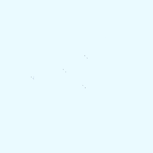 CCCCN(CC)Cc1c(C(F)(F)F)nc2n(-c3c(C)cc(C)cc3C)c3ccccc3n12